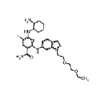 CCOCCOCCn1ncc2ccc(Nc3nc(N[C@@H]4CCCC[C@@H]4N)c(F)cc3C(N)=O)cc21